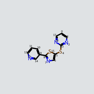 c1cnc(Sc2cnc(-c3cccnc3)s2)nc1